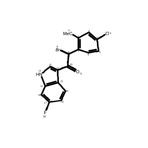 COc1cc(Cl)ccc1C(Br)C(=O)c1c[nH]c2cc(F)ccc12